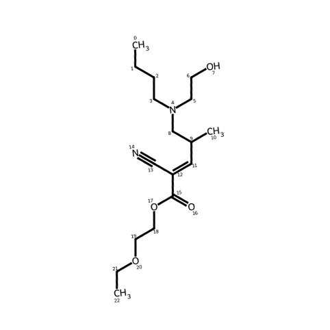 CCCCN(CCO)CC(C)/C=C(\C#N)C(=O)OCCOCC